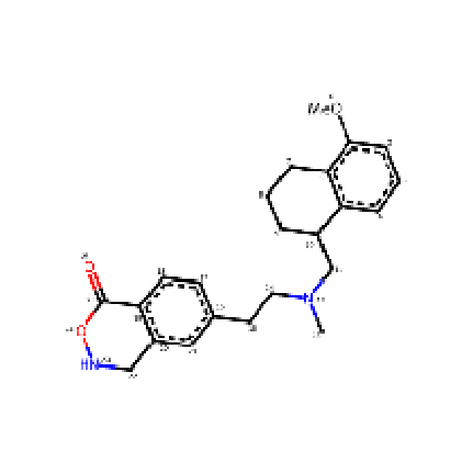 COc1cccc2c1CCCC2CN(C)CCc1ccc2c(c1)CNOC2=O